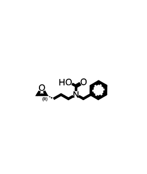 O=C(O)N(CCC[C@@H]1CO1)Cc1ccccc1